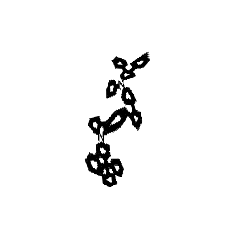 c1ccc(-c2ccc(N(c3ccccc3)c3ccc(-c4ccccc4-c4ccc5c6ccccc6n(-c6ccc7c(c6)-c6ccccc6C7(c6ccccc6)c6ccccc6)c5c4)cc3)cc2-c2ccccc2)cc1